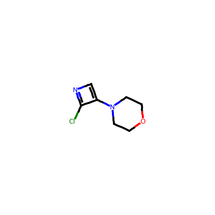 ClC1=NC=C1N1CCOCC1